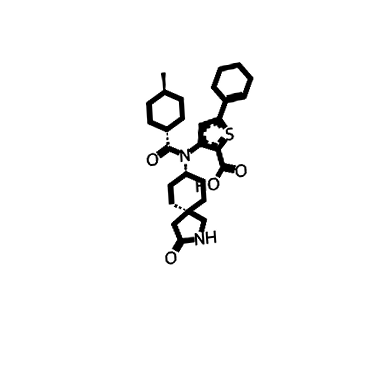 C[C@H]1CC[C@H](C(=O)N(c2cc(C3=CCCCC3)sc2C(=O)O)[C@H]2CC[C@]3(CC2)CNC(=O)C3)CC1